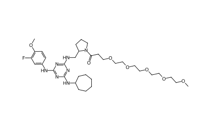 COCCOCCOCCOCCOCCC(=O)N1CCCC1CNc1nc(Nc2ccc(OC)c(F)c2)nc(NC2CCCCCC2)n1